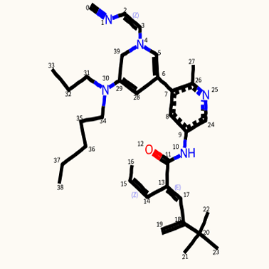 C=N/C=C\N1C=C(c2cc(NC(=O)C(/C=C\C)=C/C(=C)C(C)(C)C)cnc2C)C=C(N(CCC)CCCCC)C1